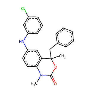 CN1C(=O)OC(C)(Cc2ccccc2)c2cc(Nc3cccc(Cl)c3)ccc21